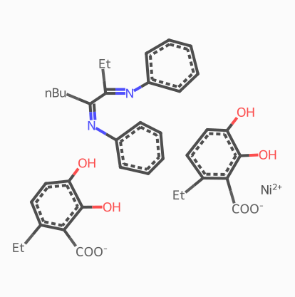 CCCCC(=Nc1ccccc1)C(CC)=Nc1ccccc1.CCc1ccc(O)c(O)c1C(=O)[O-].CCc1ccc(O)c(O)c1C(=O)[O-].[Ni+2]